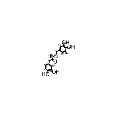 O=C(Cc1ccc(O)c(O)c1)NCCc1ccc(O)c(O)c1